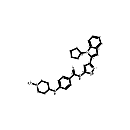 CN1CCC(Nc2ccc(C(=O)Nc3cc(-c4cc5ccccc5n4C4CCCC4)n[nH]3)cc2)CC1